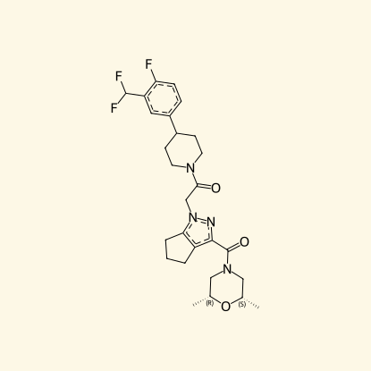 C[C@@H]1CN(C(=O)c2nn(CC(=O)N3CCC(c4ccc(F)c(C(F)F)c4)CC3)c3c2CCC3)C[C@H](C)O1